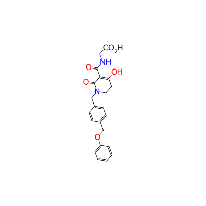 O=C(O)CNC(=O)C1=C(O)CCN(Cc2ccc(COc3ccccc3)cc2)C1=O